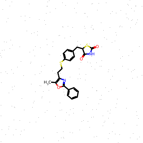 Cc1oc(-c2ccccc2)nc1CCSc1ccc(CC2SC(=O)NC2=O)cc1